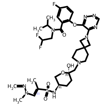 C=NN(C)/C=C(\C)S(=O)(=O)N[C@@H]1CC[C@](O)(CN2CCC3(CC2)CN(c2ncnnc2Oc2ccc(F)cc2C(=O)N(CC(F)F)C(C)C)C3)OC1